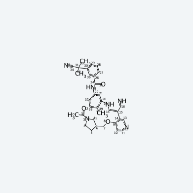 CC(=O)N1CCC(COc2ccncc2/C(C=N)=C/Nc2cc(NC(=O)c3cccc(C(C)(C)C#N)c3)ccc2C)C1